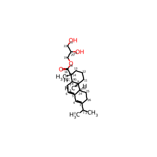 CC(C)C1=CC2=CC[C@@H]3[C@](C)(CCC[C@@]3(C)C(=O)OCC(O)CO)[C@H]2CC1